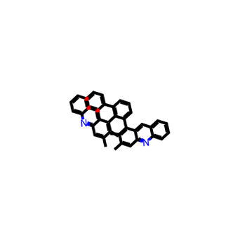 Cc1cc2nc3ccccc3cc2c(-c2cccc(-c3ccccc3)c2-c2c(C)c(C)cc3nc4ccccc4cc23)c1C